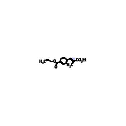 C=CCOC(=O)c1ccc(/C=C(\C)C(=O)OCC)cc1